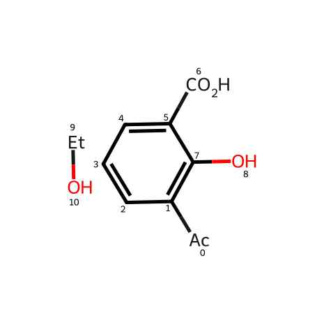 CC(=O)c1cccc(C(=O)O)c1O.CCO